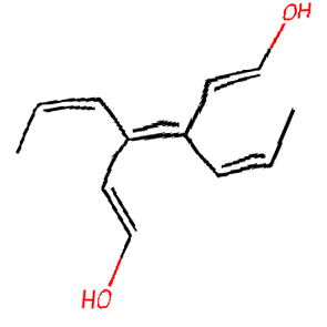 C\C=C/C(/C=C/O)=C(/C=C\C)\C=C\O